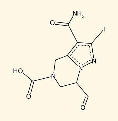 NC(=O)c1c(I)nn2c1CN(C(=O)O)CC2C=O